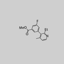 CCc1nccc(C)c1-c1cc(F)cc(C(=O)OC)c1